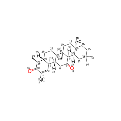 [C-]#[N+]C1=C[C@]2(C)[C@H]3CC(=O)[C@@H]4[C@@H]5CC(C)(C)CC[C@]5(C(C)=O)CC[C@@]4(C)[C@]3(C)CC[C@H]2[C@H](C)C1=O